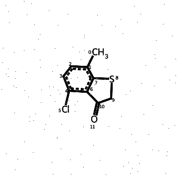 Cc1ccc(Cl)c2c1SCC2=O